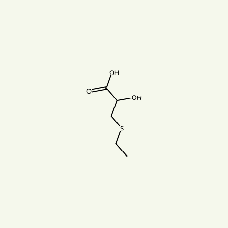 CCSCC(O)C(=O)O